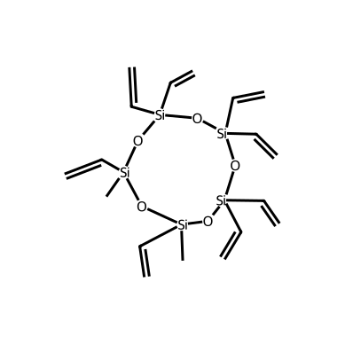 C=C[Si]1(C)O[Si](C)(C=C)O[Si](C=C)(C=C)O[Si](C=C)(C=C)O[Si](C=C)(C=C)O1